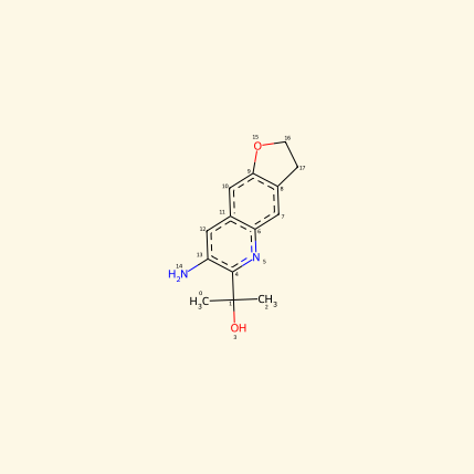 CC(C)(O)c1nc2cc3c(cc2cc1N)OCC3